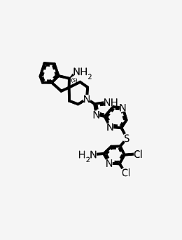 Nc1cc(Sc2cnc3[nH]c(N4CCC5(CC4)Cc4ccccc4[C@H]5N)nc3n2)c(Cl)c(Cl)n1